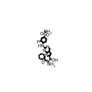 NN1C(=O)C2(CCCCC2)n2c(cc3cnc(Nc4ccc(S(N)(=O)=O)cc4F)nc32)C1O